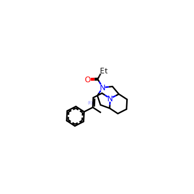 CCC(=O)N1CCC2CCCC(C1)N2C/C=C(\C)c1ccccc1